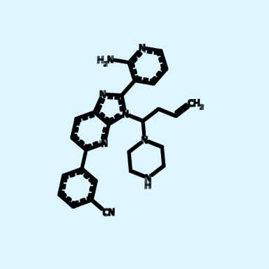 C=CCC(N1CCNCC1)n1c(-c2cccnc2N)nc2ccc(-c3cccc(C#N)c3)nc21